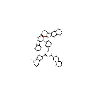 c1ccc2cc(-c3nc(-c4ccc(-n5c6ccccc6c6cc7ccccc7cc65)c(-c5cccc6oc7ccccc7c56)c4)nc(-c4ccc5ccccc5c4)n3)ccc2c1